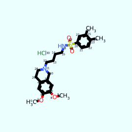 COc1cc2c(cc1OC)CN(CCCCNS(=O)(=O)c1ccc(C)c(C)c1)CC2.Cl